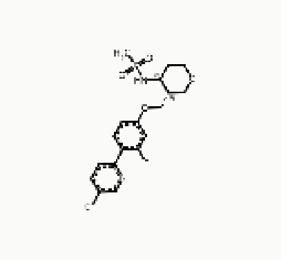 CS(=O)(=O)N[C@H]1CCOC[C@@H]1COc1ccc(-c2ccc(Cl)cn2)c(F)c1